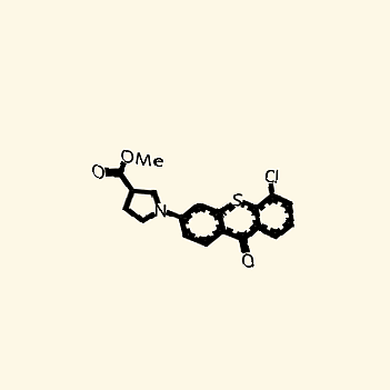 COC(=O)C1CCN(c2ccc3c(=O)c4cccc(Cl)c4sc3c2)C1